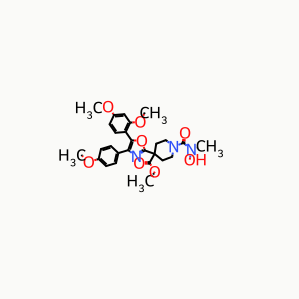 COC(=O)C1(c2nc(-c3ccc(OC)cc3)c(-c3ccc(OC)cc3OC)o2)CCN(C(=O)N(C)O)CC1